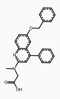 CN(CC(=O)O)c1cc(-c2ccccc2)c2cc(OCc3ccccc3)ccc2n1